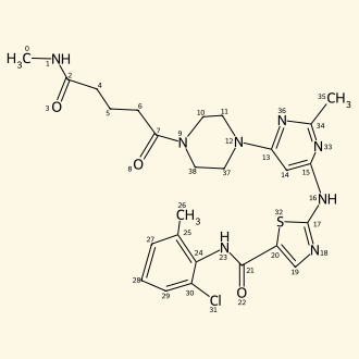 CNC(=O)CCCC(=O)N1CCN(c2cc(Nc3ncc(C(=O)Nc4c(C)cccc4Cl)s3)nc(C)n2)CC1